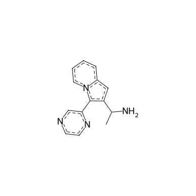 CC(N)c1cc2ccccn2c1-c1cnccn1